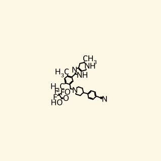 Cc1cc(C)c(-c2nc3c([nH]2)CNC(C)C3)cc1C(=O)N1CCC(c2ccc(C#N)cc2)CC1.O=C(O)C(F)(F)F